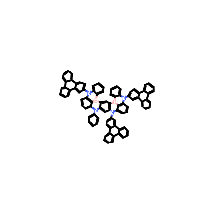 c1ccc(N2c3cc4c(cc3B3c5ccccc5N(c5ccc6c7ccccc7c7ccccc7c6c5)c5cccc2c53)B2c3ccccc3N(c3ccc5c6ccccc6c6ccccc6c5c3)c3cccc(c32)N4c2ccc3c4ccccc4c4ccccc4c3c2)cc1